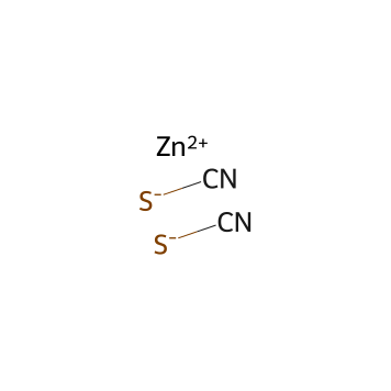 N#C[S-].N#C[S-].[Zn+2]